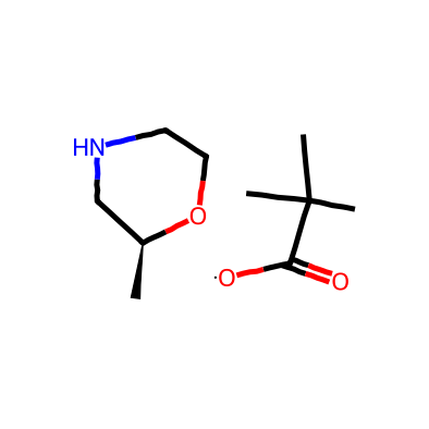 CC(C)(C)C([O])=O.C[C@H]1CNCCO1